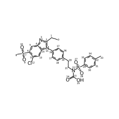 CCc1nc2cc(S(C)(=O)=O)c(Cl)cc2n1-c1ccc(CCN(C(=O)O)S(=O)(=O)c2ccc(C)cc2)cc1